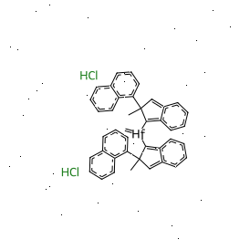 Cl.Cl.[CH2]=[Hf]([C]1=c2ccccc2=CC1(C)c1cccc2ccccc12)[C]1=c2ccccc2=CC1(C)c1cccc2ccccc12